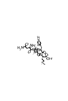 CSCC[C@H](NC(=O)[C@H](Cc1c[nH]cn1)NC(=O)[C@H](C)NC(=O)[C@@H](N)CC(N)=O)C(=O)O